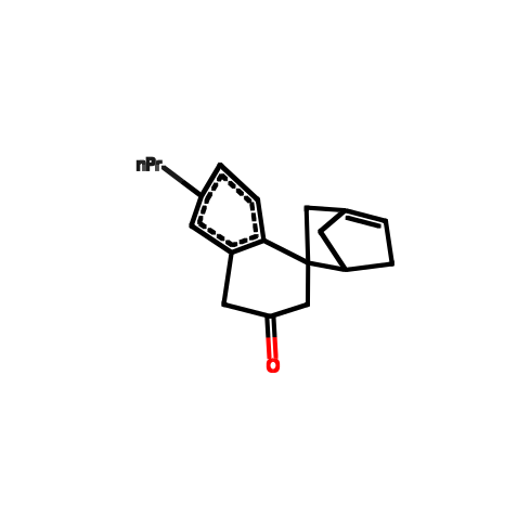 CCCc1ccc2c(c1)CC(=O)CC21CC2=CCC1C2